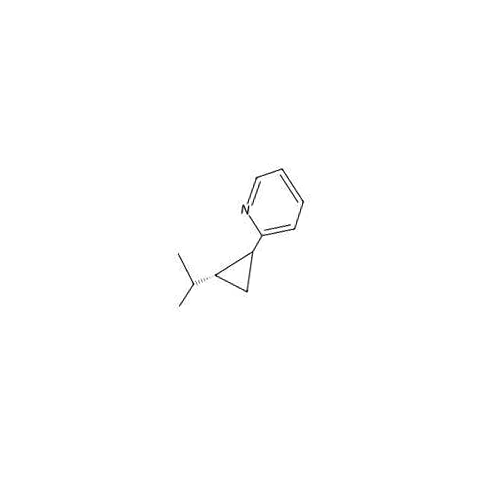 CC(C)[C@H]1CC1c1ccccn1